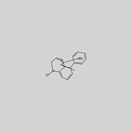 CCCCC1SC2=CCN(Cl)C3=CC=CC(c4ccccc4)C23C1C